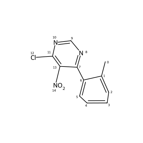 Cc1ccccc1-c1ncnc(Cl)c1[N+](=O)[O-]